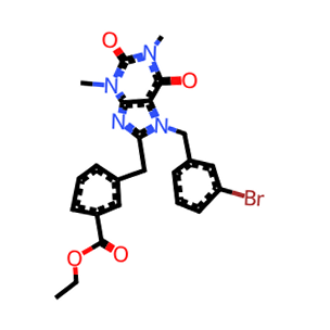 CCOC(=O)c1cccc(Cc2nc3c(c(=O)n(C)c(=O)n3C)n2Cc2cccc(Br)c2)c1